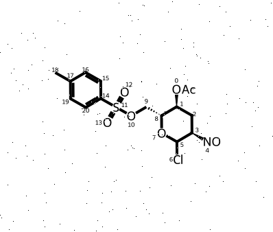 CC(=O)O[C@H]1C[C@@H](N=O)C(Cl)O[C@@H]1COS(=O)(=O)c1ccc(C)cc1